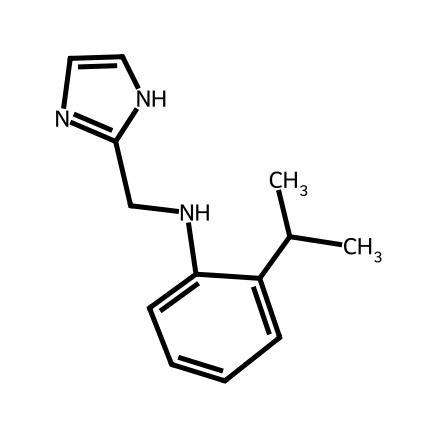 CC(C)c1ccccc1NCc1ncc[nH]1